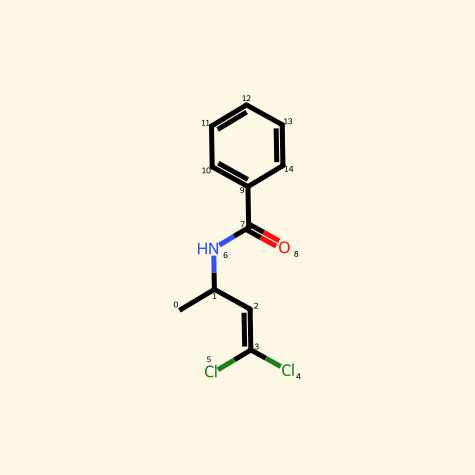 CC(C=C(Cl)Cl)NC(=O)c1ccccc1